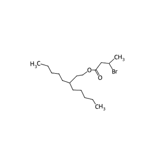 CCCCCC(CCCCC)CCOC(=O)CC(C)Br